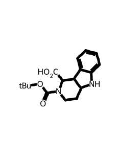 CC(C)(C)OC(=O)N1CCC2Nc3ccccc3C2C1C(=O)O